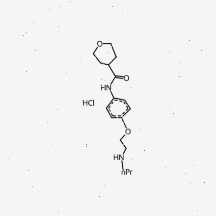 CCCNCCOc1ccc(NC(=O)C2CCOCC2)cc1.Cl